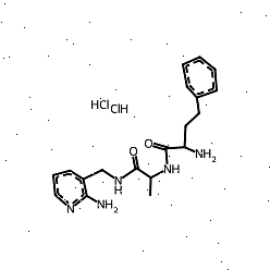 CC(NC(=O)C(N)CCc1ccccc1)C(=O)NCc1cccnc1N.Cl.Cl